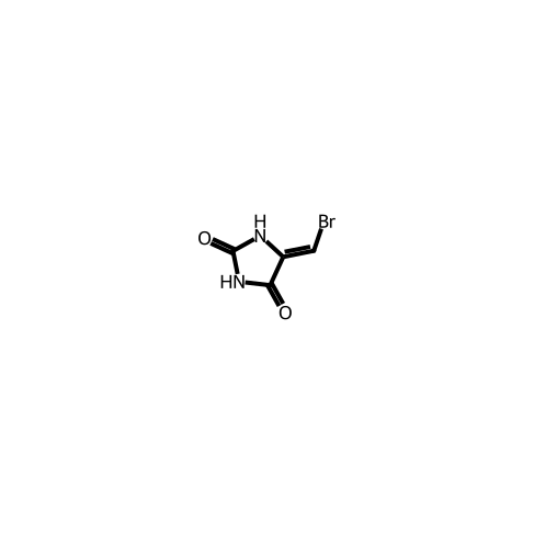 O=C1NC(=O)/C(=C/Br)N1